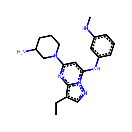 CCc1cnn2c(Nc3cccc(NC)c3)cc(N3CCCC(N)C3)nc12